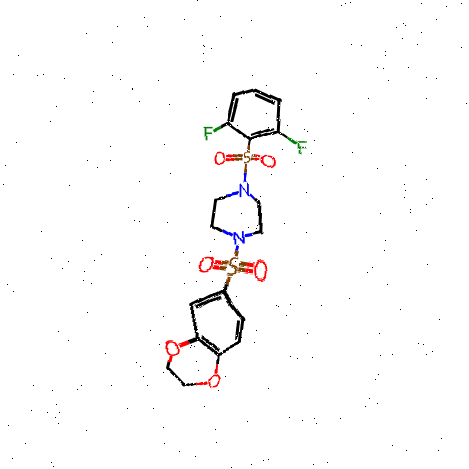 O=S(=O)(c1ccc2c(c1)OCCO2)N1CCN(S(=O)(=O)c2c(F)cccc2F)CC1